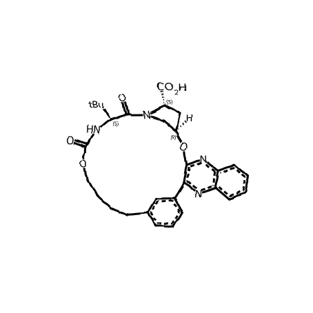 CC(C)(C)[C@@H]1NC(=O)OCCCCc2cccc(c2)-c2nc3ccccc3nc2O[C@@H]2C[C@@H](C(=O)O)N(C2)C1=O